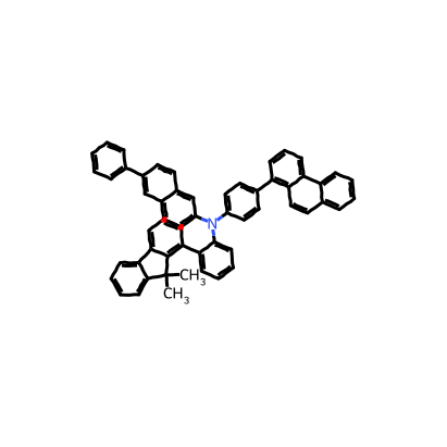 CC1(C)c2ccccc2-c2cccc(-c3ccccc3N(c3ccc(-c4cccc5c4ccc4ccccc45)cc3)c3ccc4cc(-c5ccccc5)ccc4c3)c21